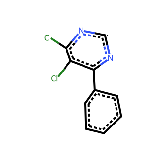 Clc1n[c]nc(-c2ccccc2)c1Cl